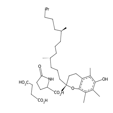 Cc1c(C)c2c(c(C)c1O)CC[C@@](C)(CCC[C@H](C)CCC[C@H](C)CCCC(C)C)O2.O=C(O)CCC(=O)O.O=C1CCC(C(=O)O)N1